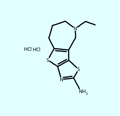 CCN1CCCc2sc3nc(N)sc3c2C1.Cl.Cl